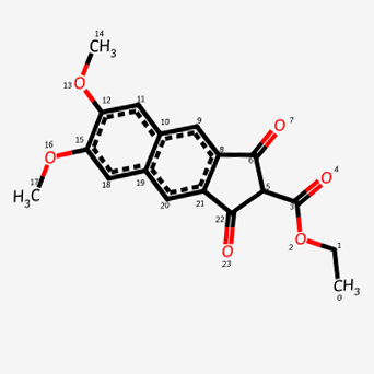 CCOC(=O)C1C(=O)c2cc3cc(OC)c(OC)cc3cc2C1=O